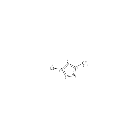 CCn1c[c]c(C(F)(F)F)n1